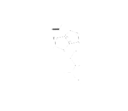 O=C(O)[C@]12CNC[C@@]1(CCCB(O)O)CCN2